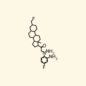 CC12CCC3C4CCC(CF)CC4CCC3C1CCC2C(=O)CN(N)c1ccc(F)cc1N